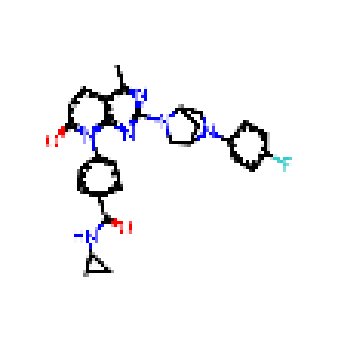 Cc1nc(N2CC3CC2CN3c2ccc(F)cc2)nc2c1ccc(=O)n2-c1ccc(C(=O)NC2CC2)cc1